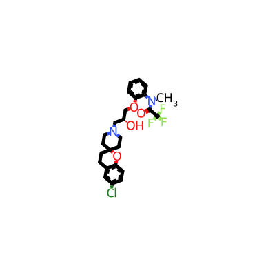 CN(C(=O)C(F)(F)F)c1ccccc1OC[C@H](O)CN1CCC2(CCc3cc(Cl)ccc3O2)CC1